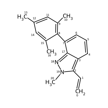 C=Cc1c2cccc(-c3c(C)cc(C)cc3C)c2nn1C